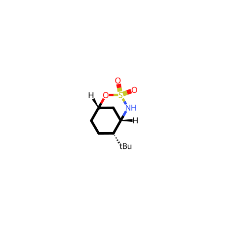 CC(C)(C)[C@@H]1CC[C@H]2C[C@@H]1NS(=O)(=O)O2